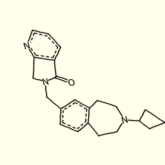 O=C1c2cccnc2CN1Cc1ccc2c(c1)CCN(C1CCC1)CC2